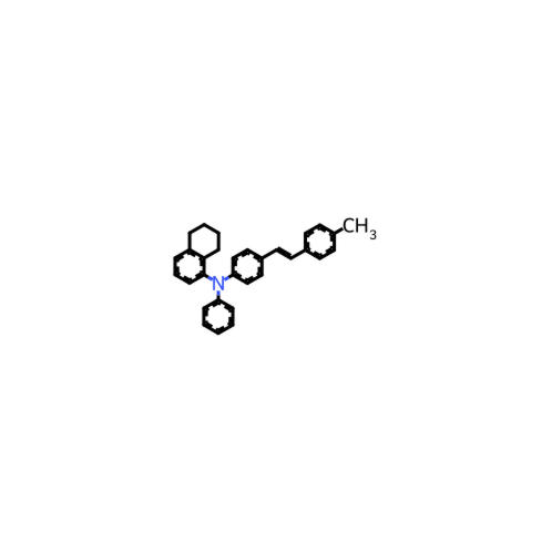 Cc1ccc(C=Cc2ccc(N(c3ccccc3)c3cccc4c3CCCC4)cc2)cc1